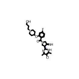 CC1=N/C(=C2\CN(C(=O)c3ccc(F)cc3OC3CCN(CCCO)CC3)CC2=N)NC(C)=C1Cl